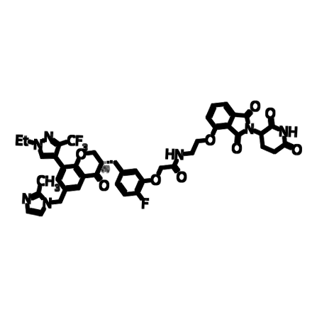 CCn1cc(-c2cc(Cn3ccnc3C)cc3c2OC[C@H](Cc2ccc(F)c(OCC(=O)NCCOc4cccc5c4C(=O)N(C4CCC(=O)NC4=O)C5=O)c2)C3=O)c(C(F)(F)F)n1